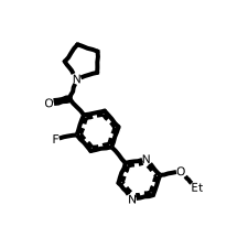 CCOc1cncc(-c2ccc(C(=O)N3CCCC3)c(F)c2)n1